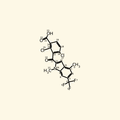 Cc1cc(C(F)(F)F)cc2c1cc(C(=O)c1c(Cl)ccc(C(=O)O)c1Cl)n2C